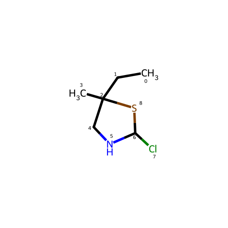 CCC1(C)CNC(Cl)S1